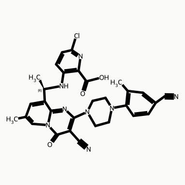 Cc1cc([C@@H](C)Nc2ccc(Cl)nc2C(=O)O)c2nc(N3CCN(c4ccc(C#N)cc4C)CC3)c(C#N)c(=O)n2c1